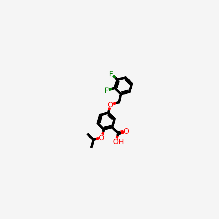 CC(C)Oc1ccc(OCc2cccc(F)c2F)cc1C(=O)O